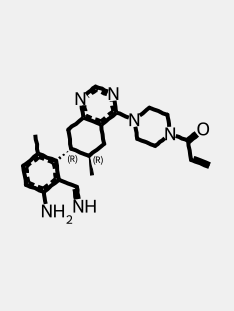 C=CC(=O)N1CCN(c2ncnc3c2C[C@@H](C)[C@H](c2c(C)ccc(N)c2C=N)C3)CC1